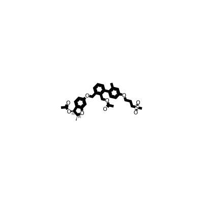 CC(=O)OCc1c(COc2ccc3c(c2)O[C@H](C)[C@H]3OC(C)=O)cccc1-c1ccc(OCCCS(C)(=O)=O)cc1C